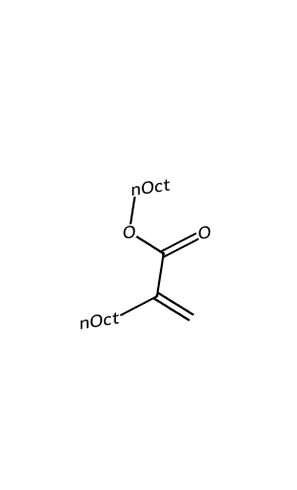 C=C(CCCCCCCC)C(=O)OCCCCCCCC